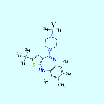 [2H]c1c([2H])c2c(c([2H])c1C)Nc1sc(C([2H])([2H])[2H])cc1C(N1CCN(C([2H])([2H])[2H])CC1)=N2